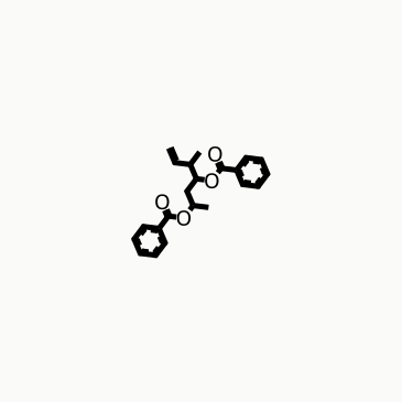 C=CC(C)C(CC(C)OC(=O)c1ccccc1)OC(=O)c1ccccc1